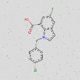 O=C(O)c1cc(F)cc2ccn(Cc3ccc(Cl)cc3)c12